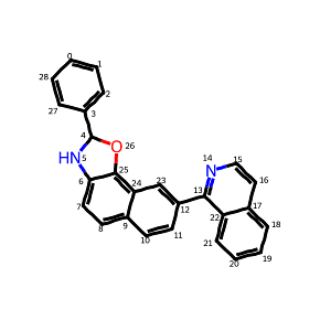 c1ccc(C2Nc3ccc4ccc(-c5nccc6ccccc56)cc4c3O2)cc1